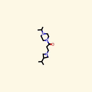 CC(C)C1CN(CCC(=O)N2CCN(C(C)C)CC2)C1